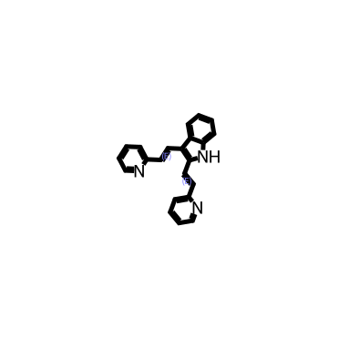 C(=C\c1[nH]c2ccccc2c1/C=C/c1ccccn1)/c1ccccn1